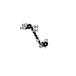 CN(CCOCCCCCCNCC(O)c1ccc(O)c(CO)c1)Cc1c(Cl)cccc1Cl